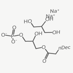 CCCCCCCCCCCC(=O)OCC(O)COP(=O)([O-])[O-].OCC(O)CO.[Na+].[Na+]